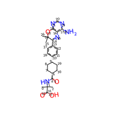 CC(C)(NC(=O)[C@H]1CC[C@H](c2ccc(C3=Nc4c(N)ncnc4OC3(C)C)cc2)CC1)C(=O)O